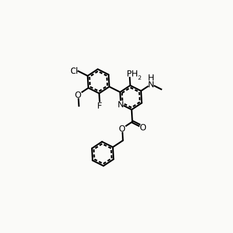 CNc1cc(C(=O)OCc2ccccc2)nc(-c2ccc(Cl)c(OC)c2F)c1P